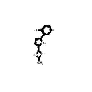 CC1OC(c2ccc(-c3ccccc3F)o2)O1